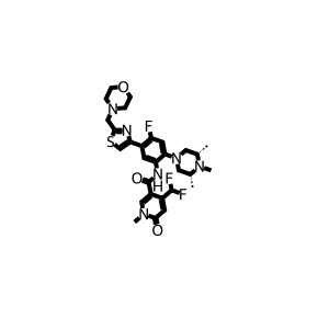 C[C@@H]1CN(c2cc(F)c(-c3csc(CN4CCOCC4)n3)cc2NC(=O)c2cn(C)c(=O)cc2C(F)F)C[C@H](C)N1C